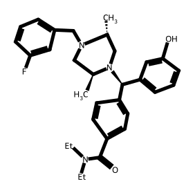 CCN(CC)C(=O)c1ccc([C@H](c2cccc(O)c2)N2C[C@@H](C)N(Cc3cccc(F)c3)C[C@@H]2C)cc1